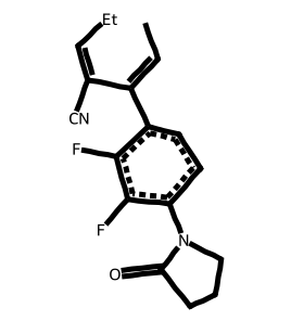 C/C=C(\C(C#N)=C/CC)c1ccc(N2CCCC2=O)c(F)c1F